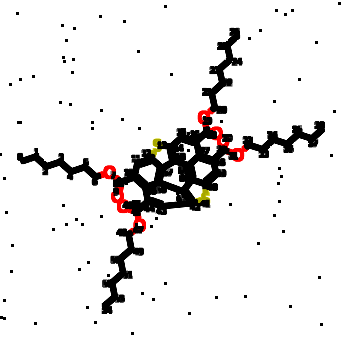 CCCCCCCOC(=O)c1cc2sc3cc(C(=O)OCCCCCCC)c4c(C(=O)OCCCCCCC)cc5sc6cc(C(=O)OCCCCCCC)c1c1c2c3c4c5c61